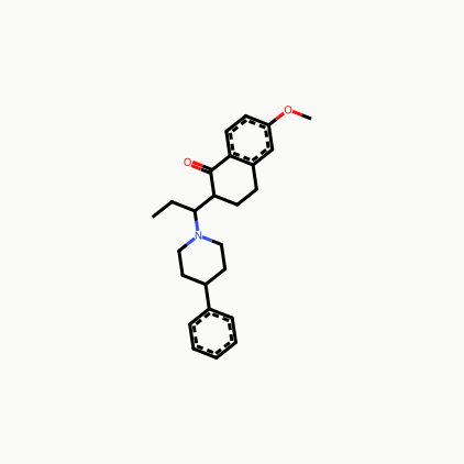 CCC(C1CCc2cc(OC)ccc2C1=O)N1CCC(c2ccccc2)CC1